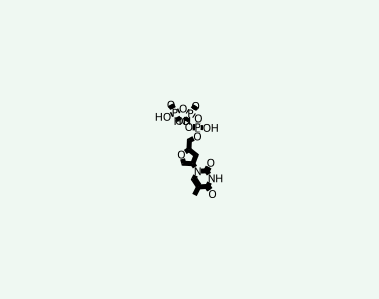 Cc1cn(C2COC(COP(=O)(O)OP(=O)(O)OP(=O)(O)O)C2)c(=O)[nH]c1=O